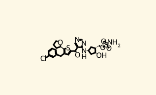 NS(=O)(=O)OC[C@H]1C[C@@H](Nc2ncncc2C(=O)c2cc(Cc3cccc(Cl)c3)c([C@H]3CCCO3)s2)C[C@@H]1O